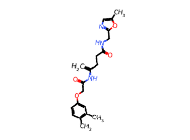 C=C(CCC(=O)NCc1ncc(C)o1)NC(=O)COc1ccc(C)c(C)c1